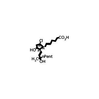 CCCCC[C@](C)(O)C=C[C@@H]1[C@@H](CC=CCCCC(=O)O)[C@H](Cl)C[C@H]1O